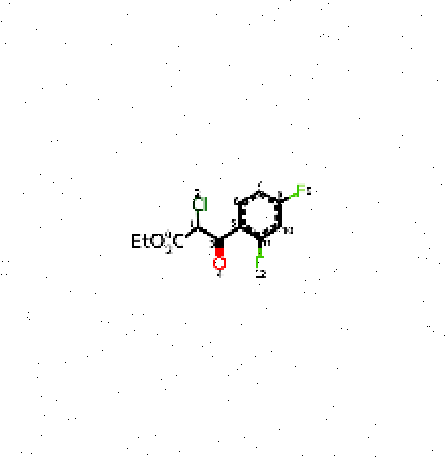 CCOC(=O)C(Cl)C(=O)c1ccc(F)cc1F